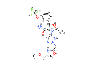 COCc1coc(Cn2ncc(N3C(C(N)=O)=C(c4cccc(OC(F)(F)F)c4)OC3C)n2)n1